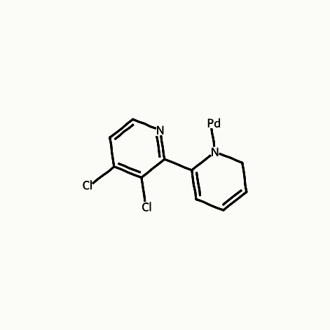 Clc1ccnc(C2=CC=CC[N]2[Pd])c1Cl